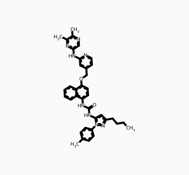 CCCCc1cc(NC(=O)Nc2ccc(OCc3ccnc(Nc4cnc(C)c(C)n4)c3)c3ccccc23)n(-c2ccc(C)cc2)n1